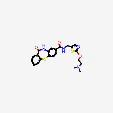 CN(C)CCOc1ncc(CNC(=O)c2ccc3c(c2)NC(=O)c2ccccc2S3)s1